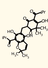 CC(C)C(=O)C1=C(O)C(C)(C)C(=O)C(Cc2c(O)c3c(c(C(=O)C(C)C)c2O)OC(C)(C)C=C3)C1=O